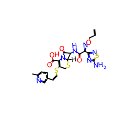 C=CCON=C(C(=O)NC1C(=O)N2C(C(=O)O)=C(S/C=C\c3ccc(C)nc3)CS[C@@H]12)c1nsc(N)n1